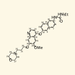 CCNC(=O)Nc1ccc2cc(Oc3ccnc4cc(OCCCN5CCOCC5)c(OC)cc34)ccc2c1